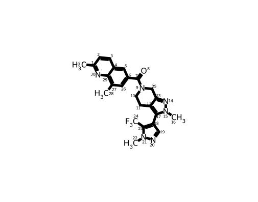 Cc1ccc2cc(C(=O)N3CCc4c(nn(C)c4-c4cnn(C)c4C(F)(F)F)C3)cc(C)c2n1